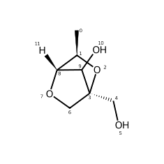 C[C@H]1O[C@@]2(CO)CO[C@H]1C2O